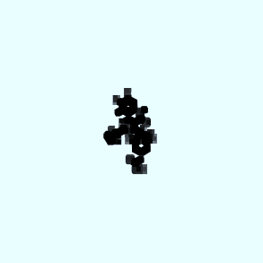 COC(=O)C1=C(CN2[C@@H]3C[C@@H](CC(=O)O)C[C@H]2C(F)(F)C3)NC(c2nccs2)=N[C@H]1c1ccc(F)c(F)c1C